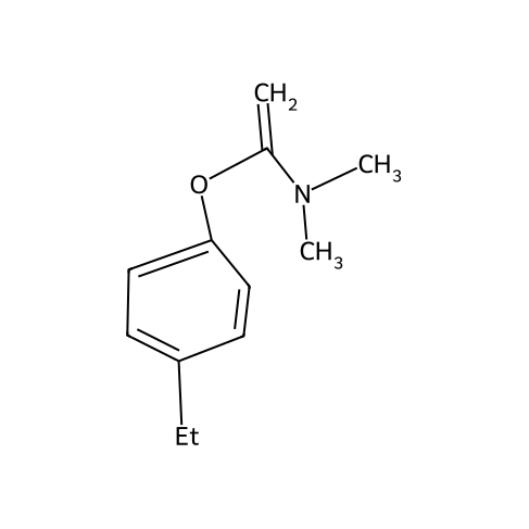 C=C(Oc1ccc(CC)cc1)N(C)C